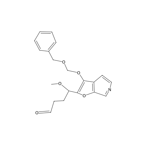 COC(CCC=O)c1oc2cnccc2c1OCOCc1ccccc1